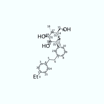 CCc1ccc(CCc2cccc([C@@H]3S[C@H](CO)[C@@H](C)[C@H](O)[C@H]3O)c2)cc1